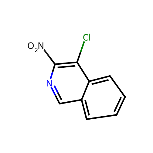 O=[N+]([O-])c1ncc2ccccc2c1Cl